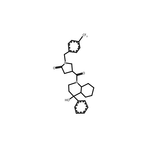 O=C1CC(C(=O)N2CCC(O)(c3ccccc3)C3CCCCC32)CN1Cc1ccc(C(F)(F)F)cc1